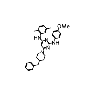 COc1ccc(Nc2nc(Nc3cc(C)ccc3C)cc(N3CCC(Cc4ccccc4)CC3)n2)cc1